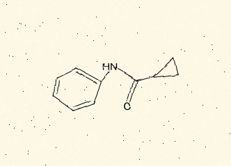 O=C(Nc1ccccc1)[C]1CC1